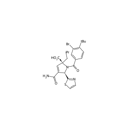 CC(C)C[C@@]1(C(=O)O)C=C(C(N)=O)[C@H](c2nccs2)N1C(=O)c1ccc(C(C)(C)C)c(Br)c1